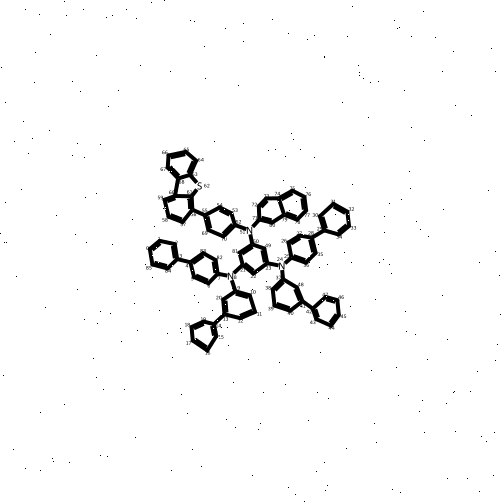 c1ccc(-c2ccc(N(c3cccc(-c4ccccc4)c3)c3cc(N(c4ccc(-c5ccccc5)cc4)c4cccc(-c5ccccc5)c4)cc(N(c4ccc(-c5cccc6c5sc5ccccc56)cc4)c4ccc5ccccc5c4)c3)cc2)cc1